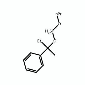 CCCO[SiH2]OC(C)(CC)c1ccccc1